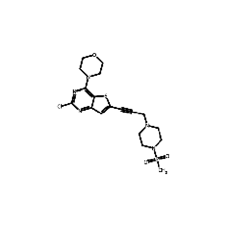 CS(=O)(=O)N1CCN(CC#Cc2cc3nc(Cl)nc(N4CCOCC4)c3s2)CC1